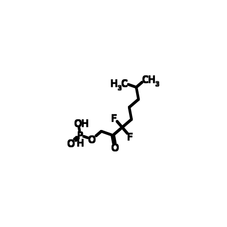 CC(C)CCCC(F)(F)C(=O)CO[PH](=O)O